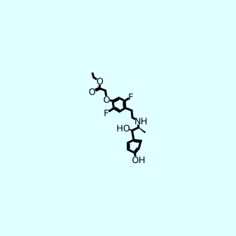 CCOC(=O)COc1cc(F)c(CCN[C@@H](C)[C@H](O)c2ccc(O)cc2)cc1F